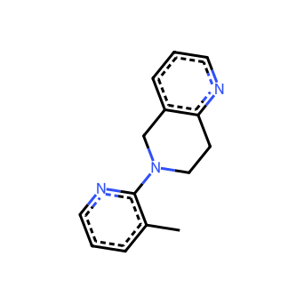 Cc1cccnc1N1CCc2ncccc2C1